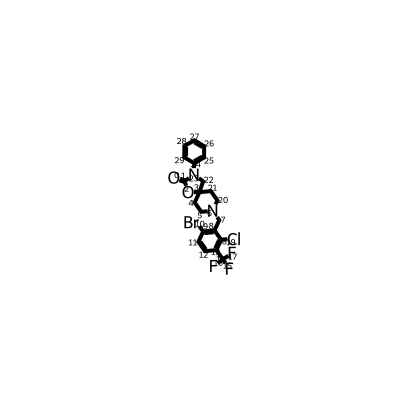 O=C1OC2(CCN(Cc3c(Br)ccc(C(F)(F)F)c3Cl)CC2)CN1c1ccccc1